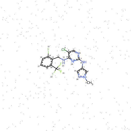 Cn1cc(Nc2ncc(Cl)c(NCc3c(F)cccc3C(F)(F)F)n2)cn1